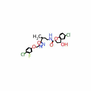 C=C(CCNC(=O)[C@H]1C[C@@H](O)c2cc(Cl)ccc2O1)c1nnc(COc2ccc(Cl)c(F)c2)o1